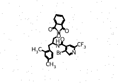 Cc1ccc(CC(CON2C(=O)c3ccccc3C2=O)NC(=O)c2cc(C(F)(F)F)ncc2Br)c(C)c1